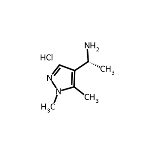 Cc1c([C@@H](C)N)cnn1C.Cl